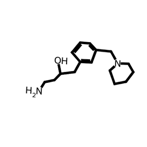 NCCC(O)Cc1cccc(CN2CCCCC2)c1